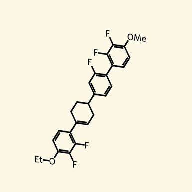 CCOc1ccc(C2=CCC(c3ccc(-c4ccc(OC)c(F)c4F)c(F)c3)CC2)c(F)c1F